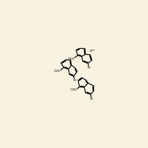 O=C([O-])c1cccc2ccc(Br)cc12.O=C([O-])c1cccc2ccc(Br)cc12.O=C([O-])c1cccc2ccc(Br)cc12.[Al+3]